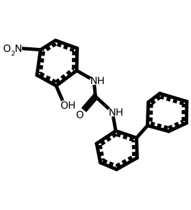 O=C(Nc1ccc([N+](=O)[O-])cc1O)Nc1ccccc1-c1ccccc1